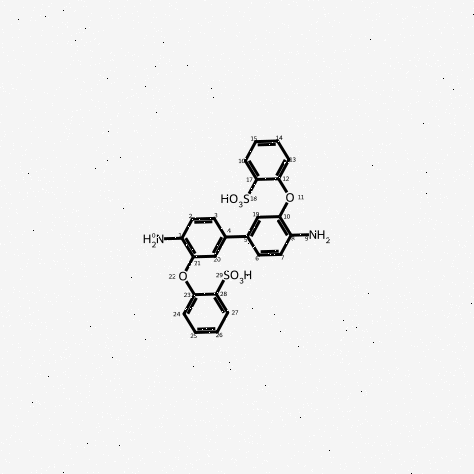 Nc1ccc(-c2ccc(N)c(Oc3ccccc3S(=O)(=O)O)c2)cc1Oc1ccccc1S(=O)(=O)O